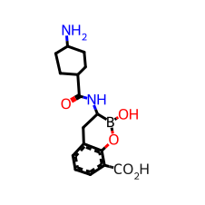 NC1CCC(C(=O)NC2Cc3cccc(C(=O)O)c3OB2O)CC1